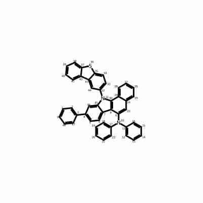 c1ccc(-c2ccc3c4c(N(c5ccccc5)c5ccccc5)cc5ccccc5c4n(-c4ccc5sc6ccccc6c5c4)c3c2)cc1